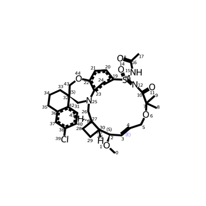 CO[C@@H]1/C=C/COC(C)(C)C(=O)N=[S@@](=O)(NC(C)=O)c2ccc3c(c2)N(C[C@@H]2CC[C@H]21)C[C@@]1(CCCc2cc(Cl)ccc21)CO3